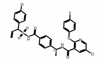 C=CC(c1ccc(Cl)cc1)S(=O)(=O)NC(=O)c1ccc([C@H](C)NC(=O)c2cc(Cl)cnc2Oc2ccc(F)cc2)cc1